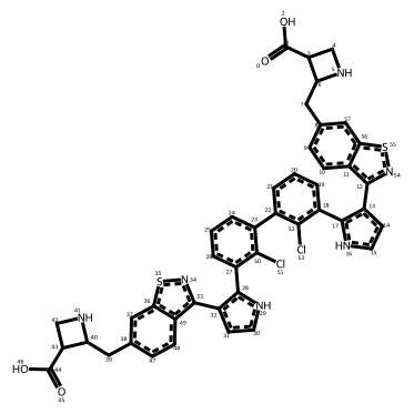 O=C(O)C1CNC1Cc1ccc2c(-c3cc[nH]c3-c3cccc(-c4cccc(-c5[nH]ccc5-c5nsc6cc(CC7NCC7C(=O)O)ccc56)c4Cl)c3Cl)nsc2c1